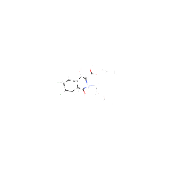 CCOC(=O)c1c(O)c2cc(Cl)c(Cl)cc2c(=O)n1CCOC